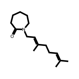 CC(C)=CCC/C(C)=C/CN1CCCCCC1=O